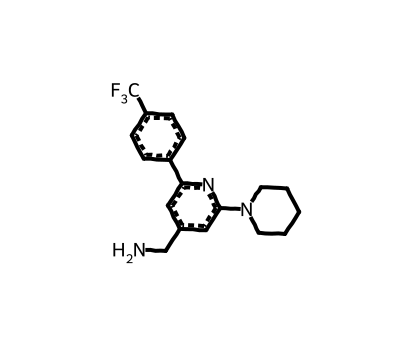 NCc1cc(-c2ccc(C(F)(F)F)cc2)nc(N2CCCCC2)c1